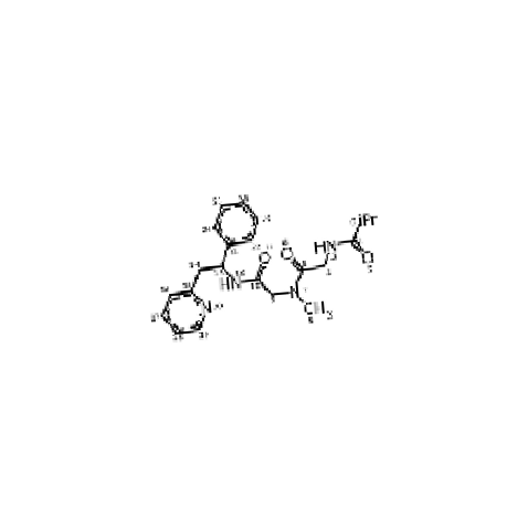 CC(C)C(=O)NCC(=O)N(C)CC(=O)NC(Cc1ccccn1)c1ccccc1